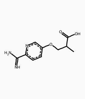 CC(COc1ccc(C(=N)N)nc1)C(=O)O